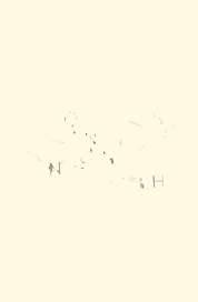 C#CCN(c1ccc2sccc2c1)c1nc(=O)c2cccnc2s1